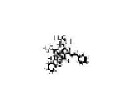 CNNC(=O)[C@@](CC(C)C)([C@@H](CC=Cc1ccccc1)C(=O)NOC1CCCCO1)S(C)(=O)=O